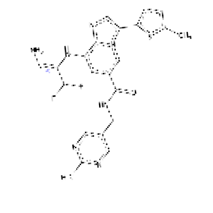 Cc1ncc(CNC(=O)c2cc(N/C(=N\N)C(F)F)c3ncc(-c4ccc(C)s4)n3c2)cn1